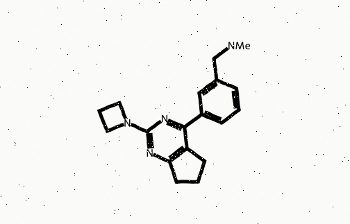 CNCc1cccc(-c2nc(N3CCC3)nc3c2CCC3)c1